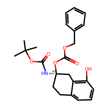 CC(C)(C)OC(=O)N[C@@]1(OC(=O)OCc2ccccc2)CCc2cccc(O)c2C1